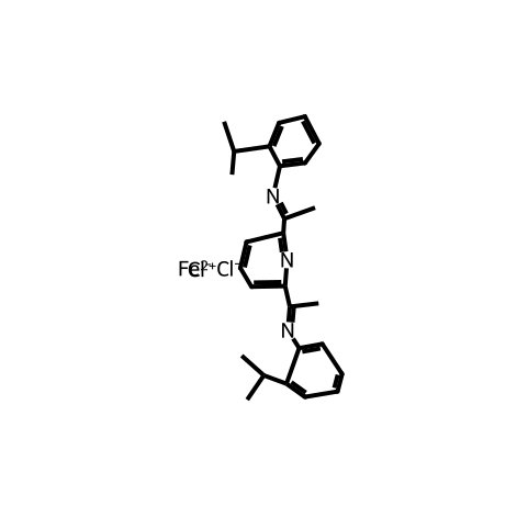 C/C(=N\c1ccccc1C(C)C)c1cccc(/C(C)=N/c2ccccc2C(C)C)n1.[Cl-].[Cl-].[Fe+2]